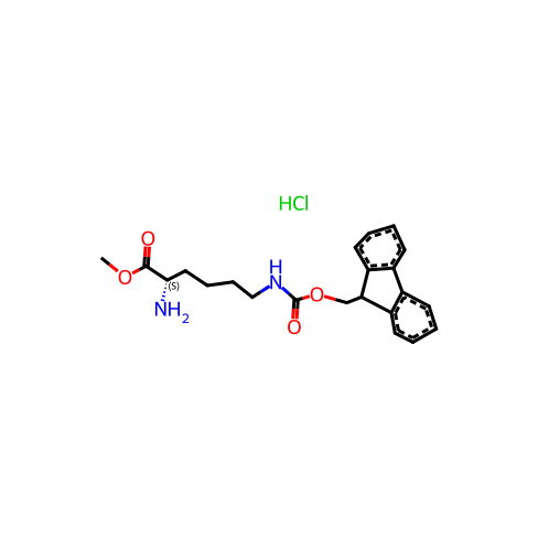 COC(=O)[C@@H](N)CCCCNC(=O)OCC1c2ccccc2-c2ccccc21.Cl